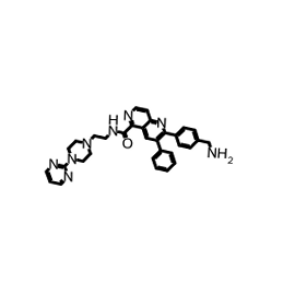 NCc1ccc(-c2nc3ccnc(C(=O)NCCN4CCN(c5ncccn5)CC4)c3cc2-c2ccccc2)cc1